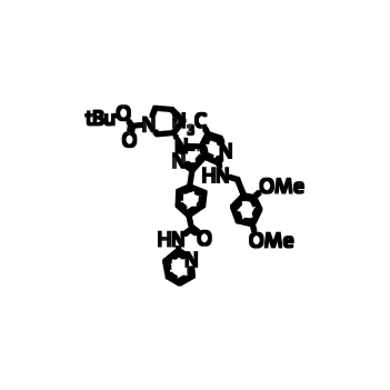 COc1ccc(CNc2ncc(C)c3c2c(-c2ccc(C(=O)Nc4ccccn4)cc2)nn3[C@@H]2CCCN(C(=O)OC(C)(C)C)C2)c(OC)c1